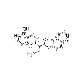 NCC(C(=O)Nc1ccc2cnccc2c1)c1ccc2c(c1)CCNB2O